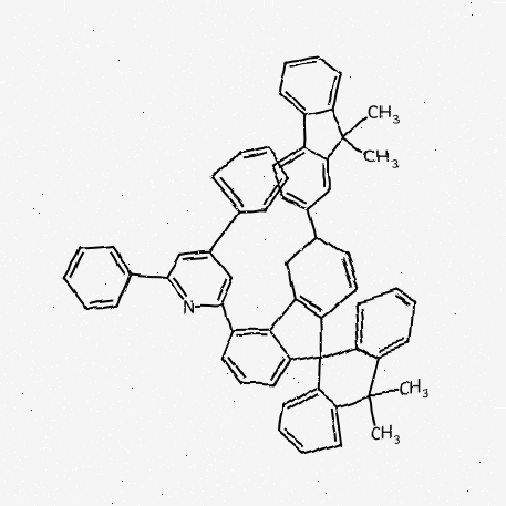 CC1(C)c2ccccc2-c2ccc(C3C=CC4=C(C3)c3c(-c5cc(-c6ccccc6)cc(-c6ccccc6)n5)cccc3C43c4ccccc4C(C)(C)c4ccccc43)cc21